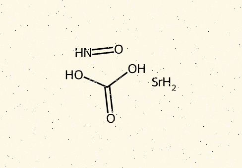 N=O.O=C(O)O.[SrH2]